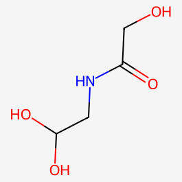 O=C(CO)NCC(O)O